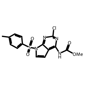 COC(=O)Nc1nc(Cl)nc2c1ccn2S(=O)(=O)c1ccc(C)cc1